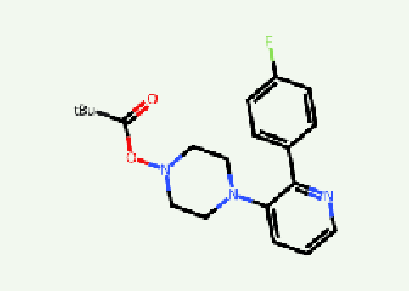 CC(C)(C)C(=O)ON1CCN(c2cccnc2-c2ccc(F)cc2)CC1